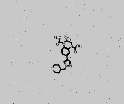 CC(=O)N1c2ccc(-c3cnn(CC4CCOCC4)c3)cc2N(C(=O)O)C[C@@H]1C